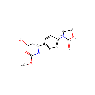 CCCCOC(=O)N[C@H](CCO)c1ccc(N2CCOC2=O)cc1